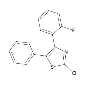 Fc1ccccc1-c1nc(Cl)sc1-c1ccccc1